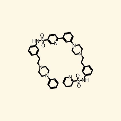 O=S(=O)(Nc1cccc(CCN2CCN(c3cccc(-c4ccc(S(=O)(=O)Nc5cccc(CCN6CCN(c7ccccc7)CC6)c5)cn4)c3)CC2)c1)C1=NC=CCC1